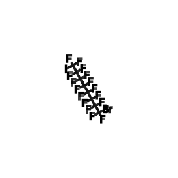 FC(F)(Br)C(F)(F)C(F)(F)C(F)(F)C(F)(F)C(F)(F)C(F)(F)C(F)(F)I